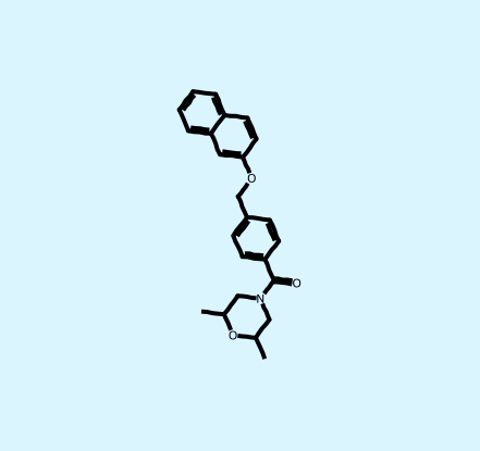 CC1CN(C(=O)c2ccc(COc3ccc4ccccc4c3)cc2)CC(C)O1